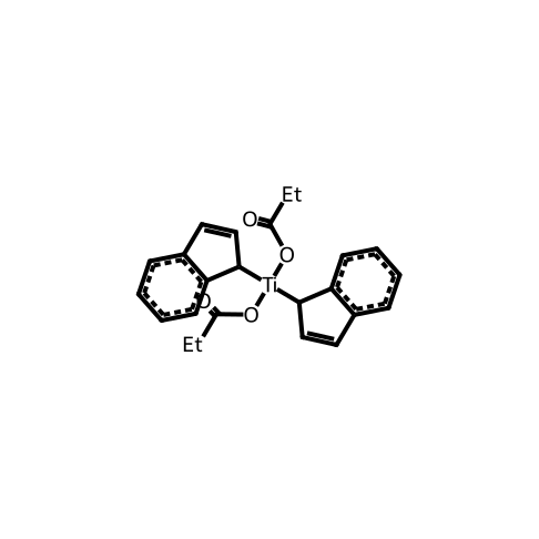 CCC(=O)[O][Ti]([O]C(=O)CC)([CH]1C=Cc2ccccc21)[CH]1C=Cc2ccccc21